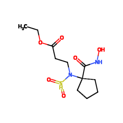 CCOC(=O)CCN([SH](=O)=O)C1(C(=O)NO)CCCC1